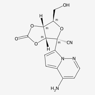 N#C[C@@]1(c2ccc3c(N)ccnn23)O[C@H](CO)[C@H]2OC(=O)O[C@H]21